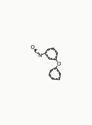 O=C=Nc1cccc(Oc2ccccc2)c1